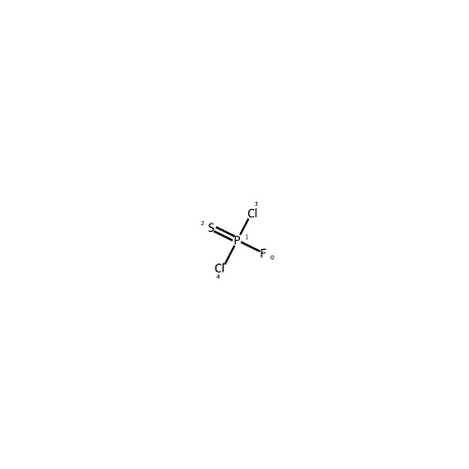 FP(=S)(Cl)Cl